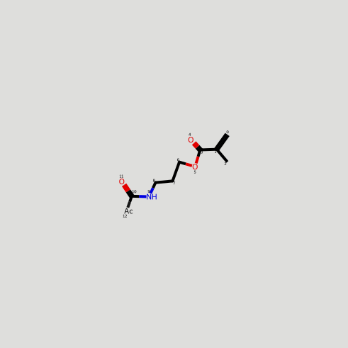 C=C(C)C(=O)OCCCNC(=O)C(C)=O